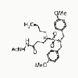 C=CCC[C@@H](CCC(=O)NNC(C)=O)S(=O)(=O)N(Cc1ccc(OC)cc1)Cc1ccc(OC)cc1